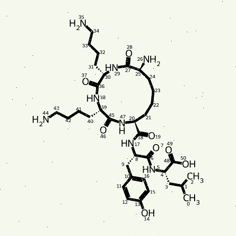 CC(C)C[C@H](NC(=O)[C@H](Cc1ccc(O)cc1)NC(=O)[C@@H]1CCCC[C@H](N)C(=O)N[C@@H](CCCCN)C(=O)N[C@@H](CCCCN)C(=O)N1)C(=O)O